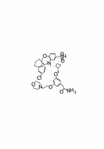 NC(=O)Cc1cc(OCCN2CCOCC2)cc(OC[C@@H]2CC[C@H]2CN2C[C@@]3(CCCc4cc(Cl)ccc43)COc3ccc([SH](=O)=O)cc32)c1